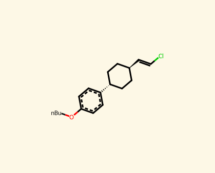 CCCCOc1ccc([C@H]2CC[C@H](/C=C/Cl)CC2)cc1